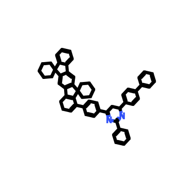 C1=C(c2ccc(C3=NC(c4ccccc4)=NC(c4ccc(-c5ccccc5)cc4)C3)cc2)C2=C(CC1)c1cc3c(cc1C21CCCCC1)-c1ccccc1C31CCCCC1